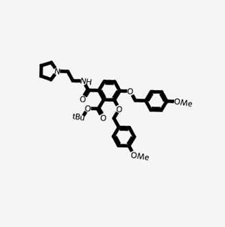 COc1ccc(COc2ccc(C(=O)NCCN3CCCC3)c(C(=O)OC(C)(C)C)c2OCc2ccc(OC)cc2)cc1